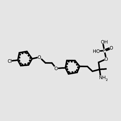 CC(N)(CCc1ccc(OCCOc2ccc(Cl)cc2)cc1)COP(=O)(O)O